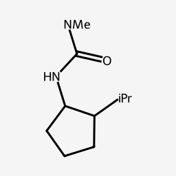 CNC(=O)NC1CCCC1C(C)C